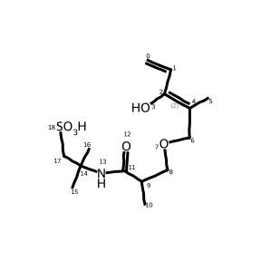 C=C/C(O)=C(\C)COCC(C)C(=O)NC(C)(C)CS(=O)(=O)O